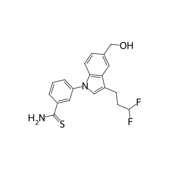 NC(=S)c1cccc(-n2cc(CCC(F)F)c3cc(CO)ccc32)c1